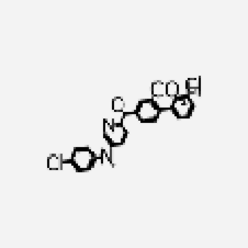 CN(c1ccc(Cl)cc1)c1ccc(C(=O)c2ccc(-c3cccc(Cl)c3)c(C(=O)O)c2)nc1